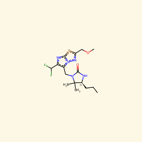 BC1(B)[C@H](CCC)NC(=O)N1Cc1c(C(F)F)nc2sc(COC)nn12